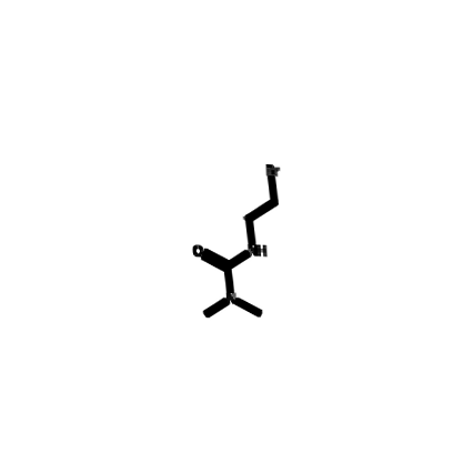 CN(C)C(=O)N[CH]CBr